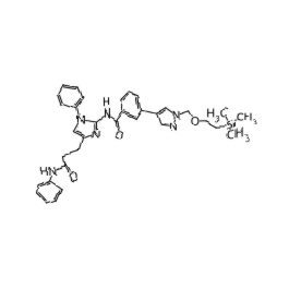 C[Si](C)(C)CCOCn1cc(-c2cccc(C(=O)Nc3nc(CCC(=O)Nc4ccccc4)cn3-c3ccccc3)c2)cn1